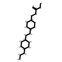 C=C(CC)CCC1CCC(CCC2CCC(CCC)CC2)CC1